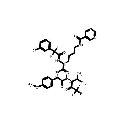 COc1ccc([C@H](NC(=O)[C@H](CCCCNC(=O)c2cncnc2)NC(=O)C(F)(F)c2cccc(Cl)c2)C(=O)N[C@H](C(=O)C(F)(F)F)C(C)C)cc1